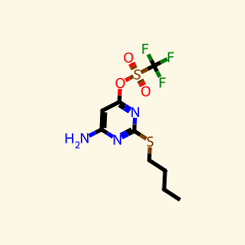 CCCCSc1nc(N)cc(OS(=O)(=O)C(F)(F)F)n1